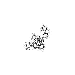 C1=CC2C=Cc3ccc(-c4nc(-c5ccccc5)nc(-c5cccc6oc7cc(-c8ccccc8)ccc7c56)n4)cc3C2CC1